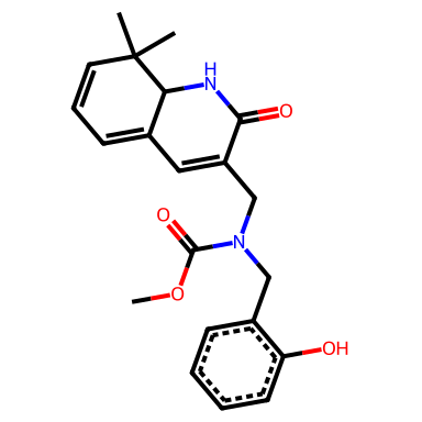 COC(=O)N(CC1=CC2=CC=CC(C)(C)C2NC1=O)Cc1ccccc1O